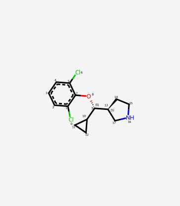 Clc1cccc(Cl)c1O[C@@H](C1CC1)[C@H]1CCNC1